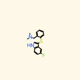 CN(C)Cc1ccccc1Sc1c[nH]c2ccc(F)cc12